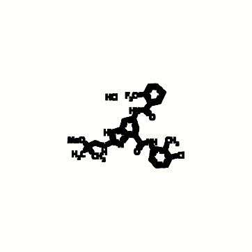 COC(C)(C)CNc1nc2c(C(=O)Nc3cccc(Cl)c3C)cc(NC(=O)c3ccccc3C(F)(F)F)cc2[nH]1.Cl